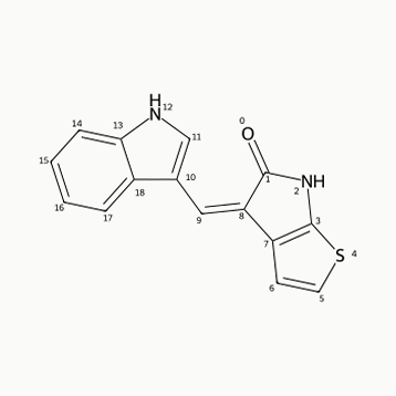 O=C1Nc2sccc2/C1=C/c1c[nH]c2ccccc12